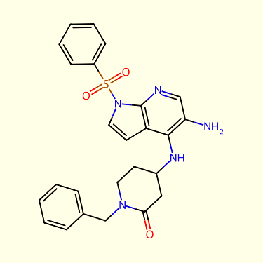 Nc1cnc2c(ccn2S(=O)(=O)c2ccccc2)c1NC1CCN(Cc2ccccc2)C(=O)C1